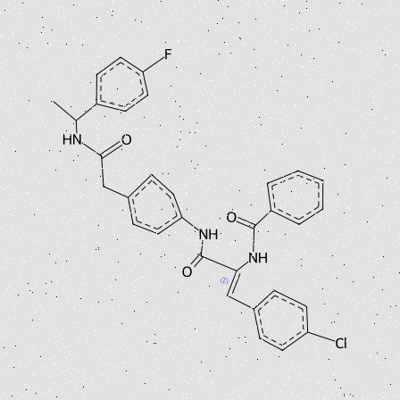 CC(NC(=O)Cc1ccc(NC(=O)/C(=C/c2ccc(Cl)cc2)NC(=O)c2ccccc2)cc1)c1ccc(F)cc1